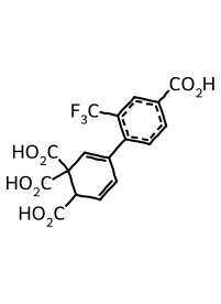 O=C(O)c1ccc(C2=CC(C(=O)O)(C(=O)O)C(C(=O)O)C=C2)c(C(F)(F)F)c1